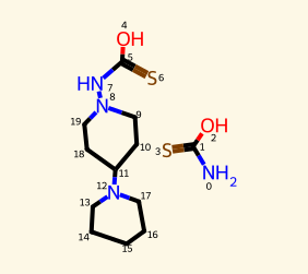 NC(O)=S.OC(=S)NN1CCC(N2CCCCC2)CC1